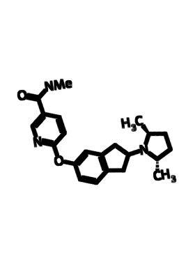 CNC(=O)c1ccc(Oc2ccc3c(c2)CC(N2[C@@H](C)CC[C@@H]2C)C3)nc1